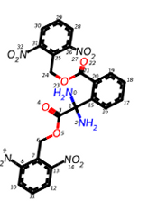 NC(N)(C(=O)OCc1c([N+](=O)[O-])cccc1[N+](=O)[O-])c1ccccc1C(=O)OCc1c([N+](=O)[O-])cccc1[N+](=O)[O-]